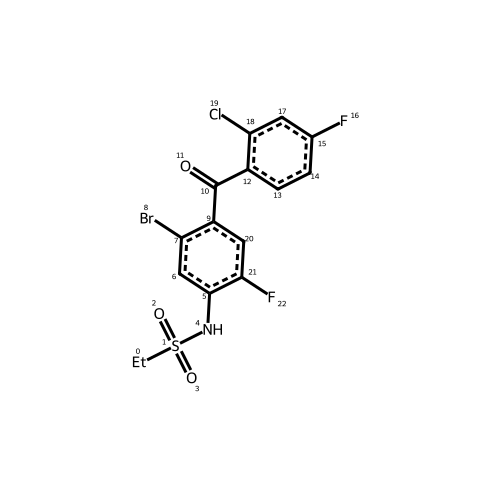 CCS(=O)(=O)Nc1cc(Br)c(C(=O)c2ccc(F)cc2Cl)cc1F